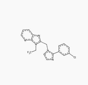 FC(F)(F)Cn1c(Cn2ccnc2-c2cccc(Cl)c2)nc2cccnc21